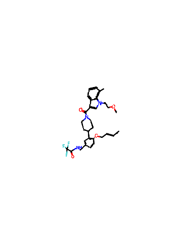 CCCCOc1ccc(CNC(=O)C(F)(F)F)cc1C1CCN(C(=O)c2cn(CCOC)c3c(C)cccc23)CC1